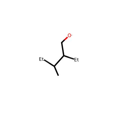 CCC(C)C(CC)C[O]